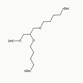 CCCCCCCCCCCCCCOCC(COC=O)OCCCCCCCCCCCCCC